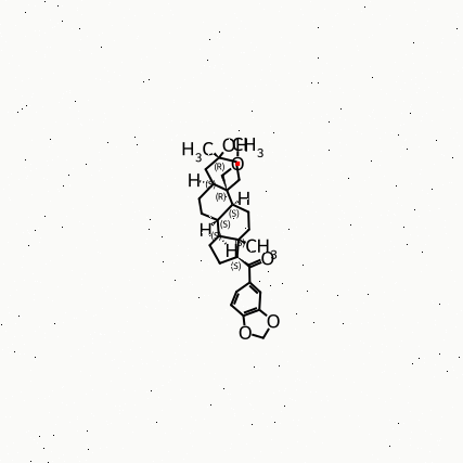 COC[C@]12CC[C@@](C)(O)C[C@@H]1CC[C@H]1[C@@H]3CC[C@H](C(=O)c4ccc5c(c4)OCO5)[C@@]3(C)CC[C@@H]12